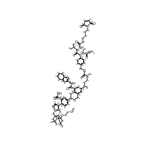 COCCOC12CC3(C)CC(C)(CC(Cn4ncc(-c5ccc(N6CCc7cc(N(C)CCN(C)C(=O)OCc8ccc(N(C(=O)[C@@H](NC(=O)CCCCCN9C(=O)C=CC9=O)C(C)C)[C@@H](C)C(N)=O)cc8)cc(C(=O)Nc8nc9ccccc9s8)c7C6)nc5C(=O)O)c4C)(C3)C1)C2